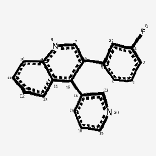 Fc1cccc(-c2cnc3ccccc3c2-c2cccnc2)c1